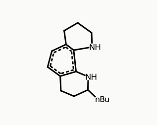 CCCCC1CCc2ccc3c(c2N1)NCCC3